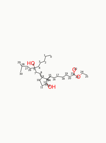 CCCCCC(O)(CC=C1CC[C@H](O)[C@@H]1CCCCCCC(=O)OCC)CCC(C)C